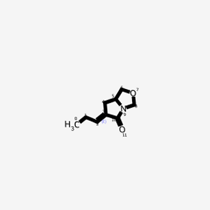 CC/C=C1\CC2COCN2C1=O